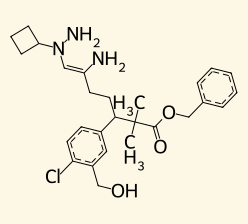 CC(C)(C(=O)OCc1ccccc1)C(CC/C(N)=C/N(N)C1CCC1)c1ccc(Cl)c(CO)c1